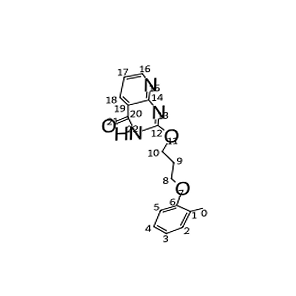 Cc1ccccc1OCCCOc1nc2ncccc2c(=O)[nH]1